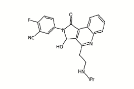 CC(C)NCCc1nc2ccccc2c2c1C(O)N(c1ccc(F)c(C#N)c1)C2=O